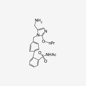 CCCOc1ncc(CN)n1Cc1ccc(-c2ccccc2S(=O)(=O)NC(C)=O)cc1